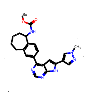 Cn1cc(-c2cc3c(-c4ccc5c(c4)CCCCC5NC(=O)OC(C)(C)C)ncnc3[nH]2)cn1